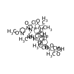 CNCCn1c([C@@]23CC[C@]4(C)[C@H](CC[C@H]5C4(C)CC[C@H]4C(C)(C)[C@@H](OC(=O)CC(C)(C)C(=O)O)CC[C@@]45C)C2=C(C(C)C)C(=O)C3)c(Cl)c(=O)n1-c1ccc(OC)nc1